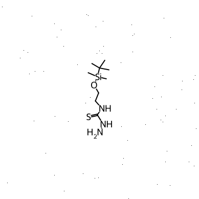 CC(C)(C)[Si](C)(C)OCCNC(=S)NN